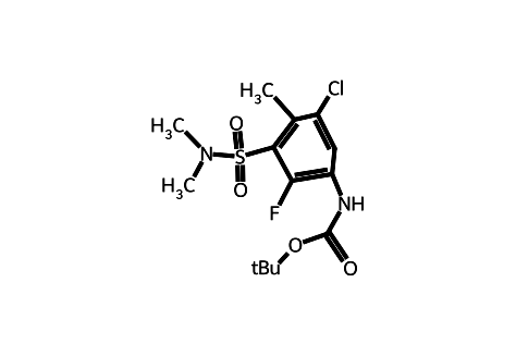 Cc1c(Cl)cc(NC(=O)OC(C)(C)C)c(F)c1S(=O)(=O)N(C)C